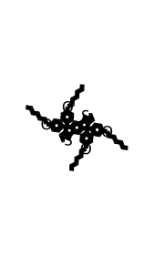 CCCCCCOc1ccc(C2(c3ccc(OCCCCCC)cc3)c3cc4c(cc3-c3sccc32)C(c2ccc(OCCCCCC)cc2)(c2ccc(OCCCCCC)cc2)c2ccsc2-4)cc1